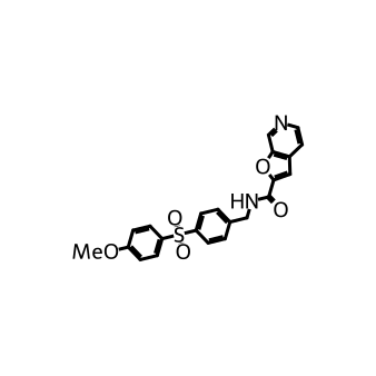 COc1ccc(S(=O)(=O)c2ccc(CNC(=O)c3cc4ccncc4o3)cc2)cc1